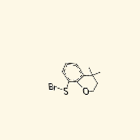 CC1(C)CCOc2c(SBr)cccc21